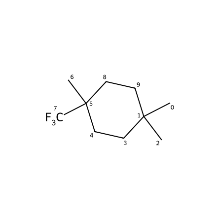 CC1(C)CCC(C)(C(F)(F)F)CC1